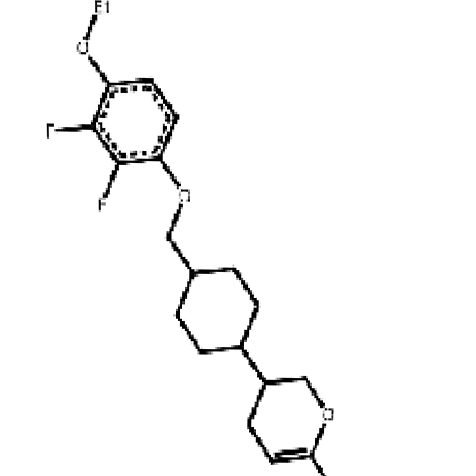 CCCCCC1=CCC(C2CCC(COc3ccc(OCC)c(F)c3F)CC2)CO1